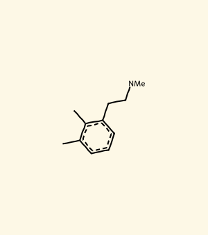 CNCCc1cccc(C)c1C